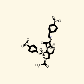 CC(=O)OCC1=C(S(=O)(=O)Oc2ccc([N+](=O)[O-])cc2)N2C(=O)C(/N=C/c3ccc([N+](=O)[O-])cc3)[C@H]2SC1